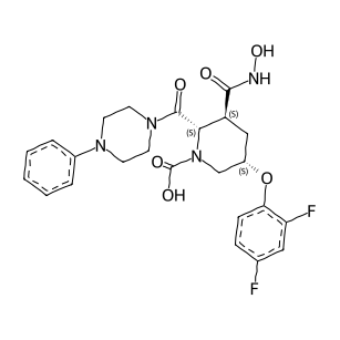 O=C(NO)[C@H]1C[C@H](Oc2ccc(F)cc2F)CN(C(=O)O)[C@@H]1C(=O)N1CCN(c2ccccc2)CC1